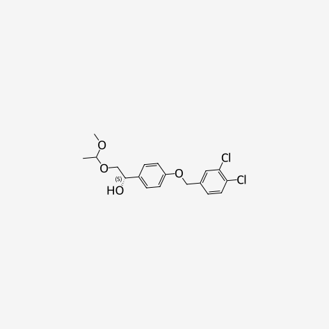 COC(C)OC[C@@H](O)c1ccc(OCc2ccc(Cl)c(Cl)c2)cc1